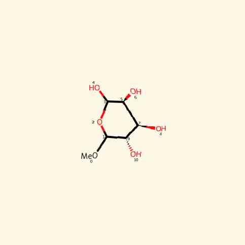 COC1OC(O)[C@@H](O)[C@@H](O)[C@@H]1O